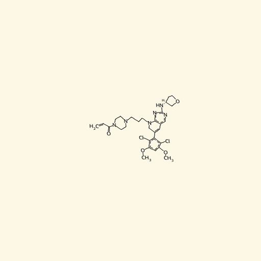 C=CC(=O)N1CCN(CCCN2CC(c3c(Cl)c(OC)cc(OC)c3Cl)=Cc3cnc(N[C@@H]4CCOC4)nc32)CC1